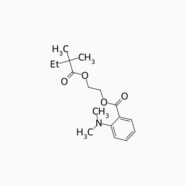 CCC(C)(C)C(=O)OCCOC(=O)c1ccccc1N(C)C